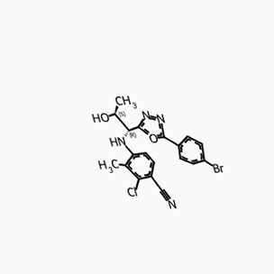 Cc1c(N[C@@H](c2nnc(-c3ccc(Br)cc3)o2)[C@H](C)O)ccc(C#N)c1Cl